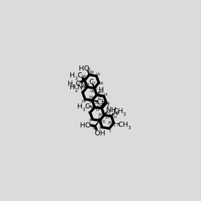 C[C@@H]1CC[C@]2(C(O)O)CC[C@]3(C)C(=CC[C@@H]4[C@@]5(C)CC[C@H](O)C(C)(C)[C@]5(N)CC[C@]43C)[C@]2(N)[C@H]1C